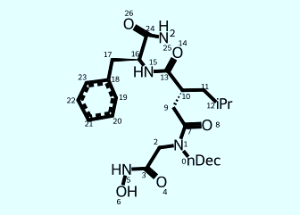 CCCCCCCCCCN(CC(=O)NO)C(=O)C[C@@H](CC(C)C)C(=O)N[C@@H](Cc1ccccc1)C(N)=O